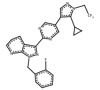 Fc1ccccc1Cn1nc(-c2ncc(-c3cnn(CC(F)(F)F)c3C3CC3)cn2)c2cccnc21